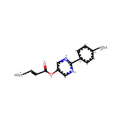 CCCCCCCC/C=C/C(=O)Oc1cnc(-c2ccc(CCCCCCCC)cc2)nc1